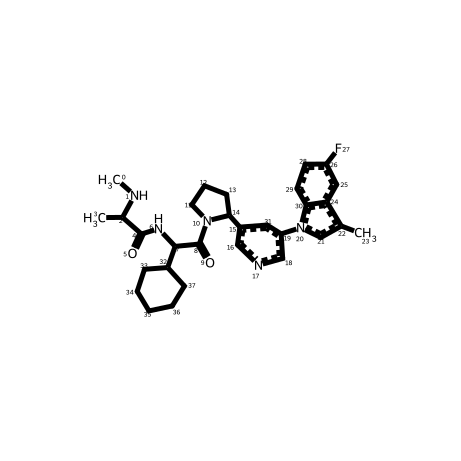 CNC(C)C(=O)NC(C(=O)N1CCCC1c1cncc(-n2cc(C)c3cc(F)ccc32)c1)C1CCCCC1